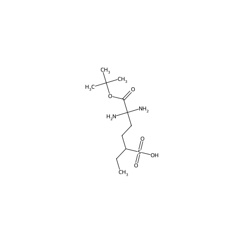 CCC(CCC(N)(N)C(=O)OC(C)(C)C)S(=O)(=O)O